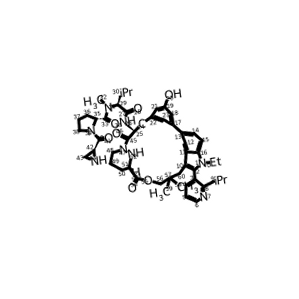 CCn1c(-c2cccnc2C(C)C)c2c3cc(ccc31)-c1cc(O)cc(c1)C[C@H](NC(=O)[C@H](C(C)C)N(C)C(=O)[C@H]1CCCN1C(=O)[C@@H]1CN1)C(=O)N1CCC[C@H](N1)C(=O)OCC(C)(C)C2